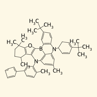 Cc1cc2c3c(c1)N(C1C=CC(C(C)(C)C)=CC1)c1ccc(C(C)(C)C)cc1B3c1oc3c(c1N2c1cc(-c2ccccc2)ccc1C)C(C)CCC3(C)C